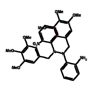 COc1cc(CN(c2ccccc2N)N(Cc2cc(OC)c(OC)c(OC)c2)c2ccccc2[N+](=O)[O-])cc(OC)c1OC